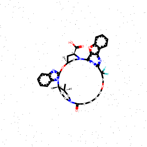 C[C@H]1CN2CC[C@@H]1n1c(nc3ccccc31)O[C@H]1C[C@@H](C(=O)O)N(C1)c1nc(nc3c1oc1ccccc13)C(F)(F)COCCCCC2=O